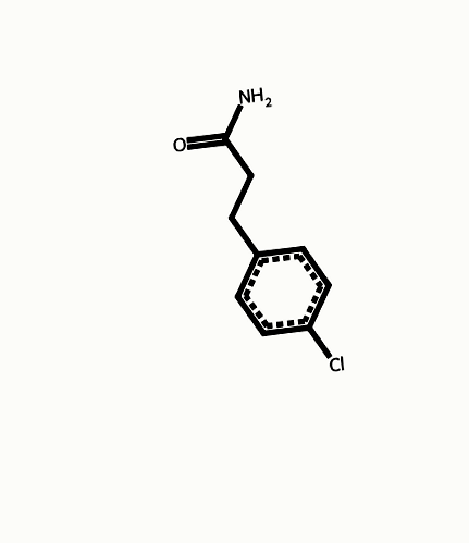 NC(=O)CCc1ccc(Cl)cc1